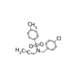 C=C=CN(Cc1ccc(Cl)cc1)S(=O)(=O)c1ccc(C)cc1